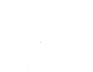 Fc1cc(F)c(F)c(Cn2cc(Br)c3ccncc32)c1F